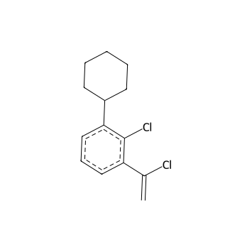 C=C(Cl)c1cccc(C2CCCCC2)c1Cl